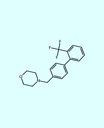 FC(F)(F)c1ccccc1-c1ccc(CN2CCOCC2)cc1